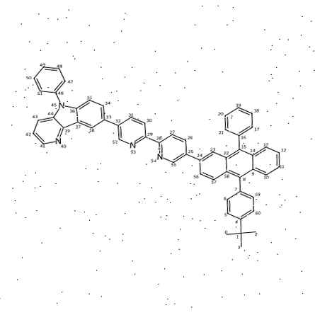 CC(C)(C)c1ccc(-c2c3ccccc3c(-c3ccccc3)c3cc(-c4ccc(-c5ccc(-c6ccc7c(c6)c6ncccc6n7-c6ccccc6)cn5)nc4)ccc23)cc1